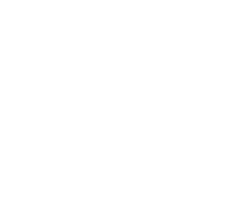 CC(C)CP(=O)=P